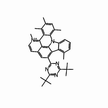 Cc1cc(C)c2c(c1C)c1c3c(cc[n+]1C)cc(-c1nc(C(C)(C)C)nc(C(C)(C)C)n1)c1c4c(C)cccc4n2c13